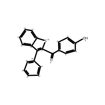 O=C(c1ccc(O)cc1)c1sc2ccccc2c1-c1ccccc1